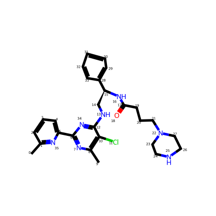 Cc1cccc(-c2nc(C)c(Cl)c(NC[C@H](NC(=O)CCCN3CCNCC3)c3ccccc3)n2)n1